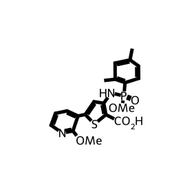 COc1ncccc1-c1cc(NP(=O)(OC)c2ccc(C)cc2C)c(C(=O)O)s1